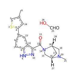 Cc1csc(-c2ccc3[nH]nc(C(=O)N4C[C@@H]5C[C@H]4CN5C)c3c2)c1.O=CO